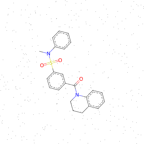 CN(c1ccccc1)S(=O)(=O)c1cccc(C(=O)N2CCCc3ccccc32)c1